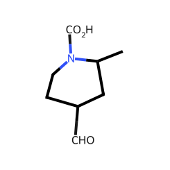 CC1CC(C=O)CCN1C(=O)O